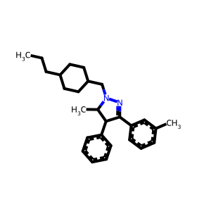 CCCC1CCC(CN2N=C(c3cccc(C)c3)C(c3ccccc3)C2C)CC1